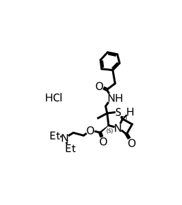 CCN(CC)CCOC(=O)[C@@H]1N2C(=O)C[C@H]2SC1(C)CNC(=O)Cc1ccccc1.Cl